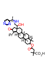 CC(C)C1=C2[C@H]3CC[C@@H]4[C@@]5(C)CC[C@H](OC(=O)CC(C)(C)C(=O)O)C(C)(C)[C@@H]5CC[C@@]4(C)[C@]3(C)CCC2(C(O)CN[C@H](C)c2ccncn2)CC1=O